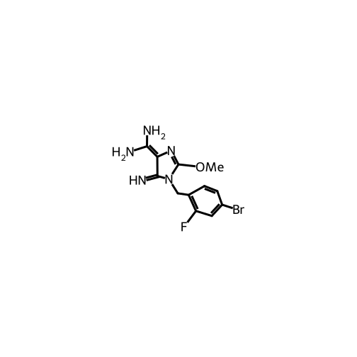 COC1=NC(=C(N)N)C(=N)N1Cc1ccc(Br)cc1F